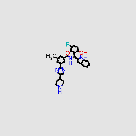 Cc1cc(C(=O)N[C@@H](c2cc3ccccc3[nH]2)c2cc(F)ccc2O)cc(-c2ncc(C3CCNCC3)cn2)c1